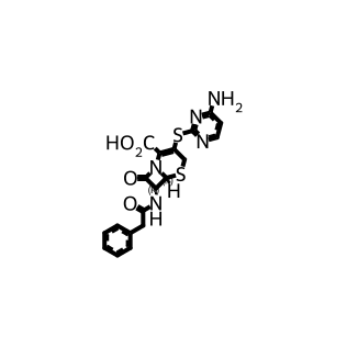 Nc1ccnc(SC2=C(C(=O)O)N3C(=O)[C@@H](NC(=O)Cc4ccccc4)[C@H]3SC2)n1